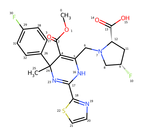 COC(=O)C1=C(CN2C[C@@H](F)C[C@H]2C(=O)O)NC(c2nccs2)=NC1(C)c1ccc(F)cc1